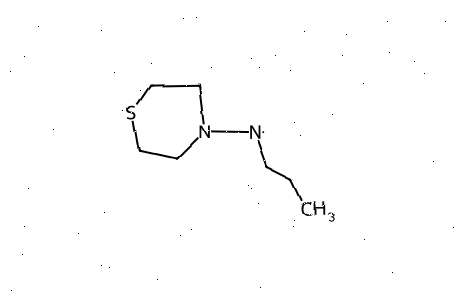 CCC[N]N1CCSCC1